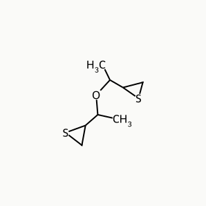 CC(OC(C)C1CS1)C1CS1